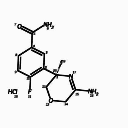 C[C@@]1(c2cc(C(N)=O)ccc2F)COCC(N)=N1.Cl